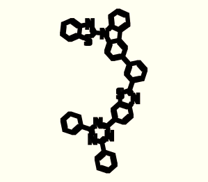 C1=CCCC(c2nc(-c3ccccc3)nc(-c3ccc4nc(-c5cccc(-c6ccc7c(c6)c6ccccc6n7-c6nc7ccccc7s6)c5)sc4c3)n2)=C1